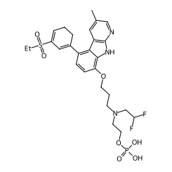 CCS(=O)(=O)C1=CCCC(c2ccc(OCCCN(CCOP(=O)(O)O)CC(F)F)c3[nH]c4ncc(C)cc4c23)=C1